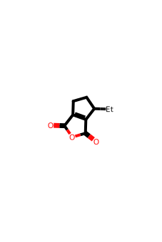 CCC1CCC2=C1C(=O)OC2=O